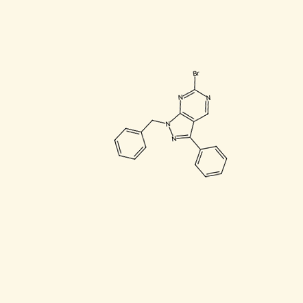 Brc1ncc2c(-c3ccccc3)nn(Cc3ccccc3)c2n1